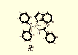 O=C([NH][Hf+2]([CH]1C=Cc2ccccc21)[SiH](c1ccccc1)c1ccccc1)c1ccccc1.[Cl-].[Cl-]